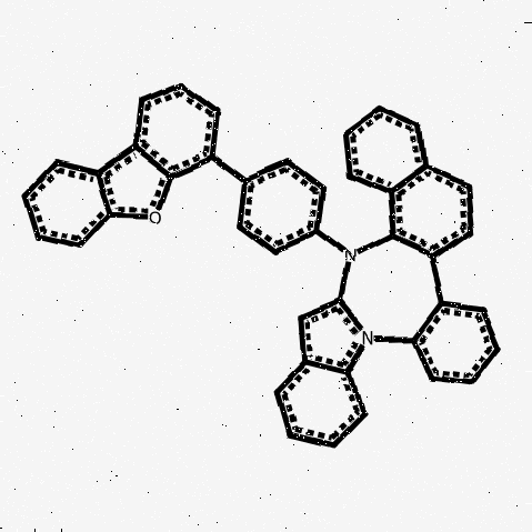 c1ccc2c(c1)-c1ccc3ccccc3c1N(c1ccc(-c3cccc4c3oc3ccccc34)cc1)c1cc3ccccc3n1-2